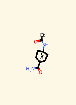 CCC(=O)NC12CCC(C(N)=O)(CC1)CC2